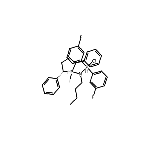 CCCCN([PH](Cl)(c1cccc(F)c1)c1cccc(F)c1)[PH]1(I)[C@H](c2ccccc2)CC[C@H]1c1ccccc1